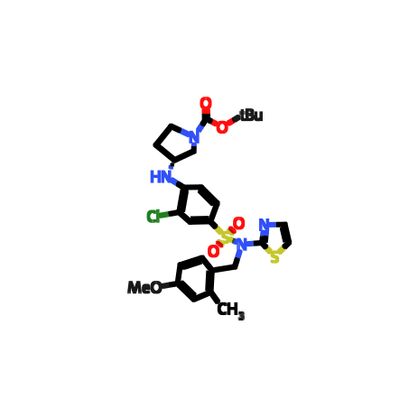 COc1ccc(CN(c2nccs2)S(=O)(=O)c2ccc(N[C@@H]3CCN(C(=O)OC(C)(C)C)C3)c(Cl)c2)c(C)c1